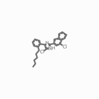 CCCCCCc1ccccc1-c1nc(-c2cc(Cl)c3ccccc3c2)[nH]c1Cl